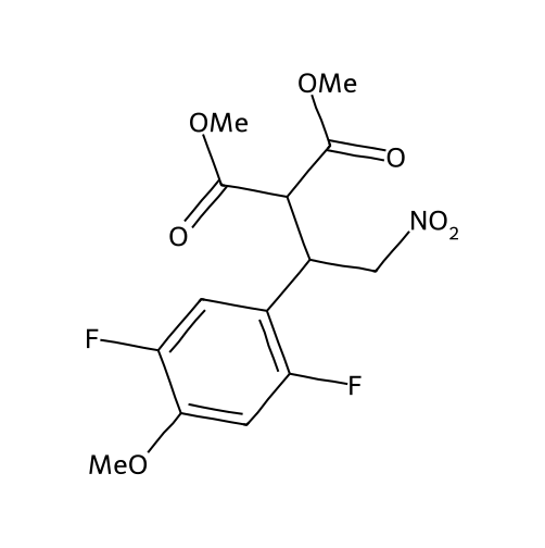 COC(=O)C(C(=O)OC)C(C[N+](=O)[O-])c1cc(F)c(OC)cc1F